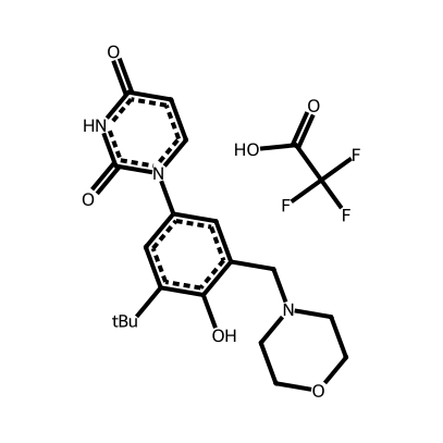 CC(C)(C)c1cc(-n2ccc(=O)[nH]c2=O)cc(CN2CCOCC2)c1O.O=C(O)C(F)(F)F